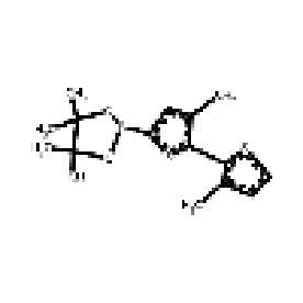 Cc1ccsc1-c1sc(B2OC(C)(C)C(C)(C)O2)cc1C